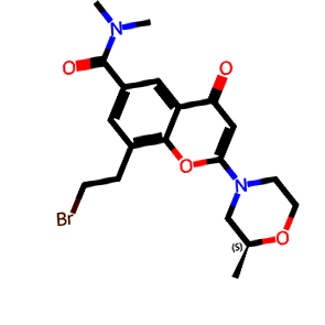 C[C@H]1CN(c2cc(=O)c3cc(C(=O)N(C)C)cc(CCBr)c3o2)CCO1